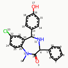 CN1C(=O)C(c2ccccc2)NC(c2ccc(O)cc2)c2cc(Cl)ccc21